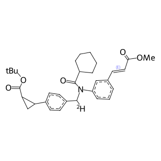 [2H]C(c1ccc(C2CC2C(=O)OC(C)(C)C)cc1)N(C(=O)C1CCCCC1)c1cccc(/C=C/C(=O)OC)c1